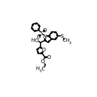 CCOC(=O)c1ccc(C(O)c2cc3cc(SC)ccc3n2S(=O)(=O)c2ccccc2)o1